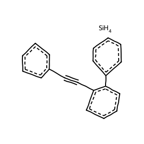 C(#Cc1ccccc1-c1ccccc1)c1ccccc1.[SiH4]